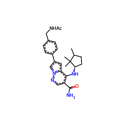 CC(=O)NCc1ccc(-c2cc3c(N[C@@H]4CCC(C)C4(C)C)c(C(N)=O)cnn3c2)cc1